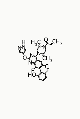 C=CC(=O)N1C[C@H](C)N(c2nc(Oc3cn[nH]c3)nc3c(F)c(-c4c(O)cccc4F)c(Cl)cc23)C[C@H]1C